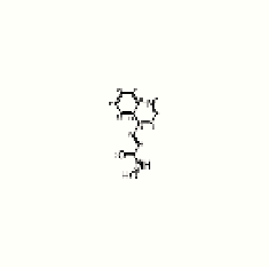 O=C(C=Cc1ccnc2ccccc12)NO